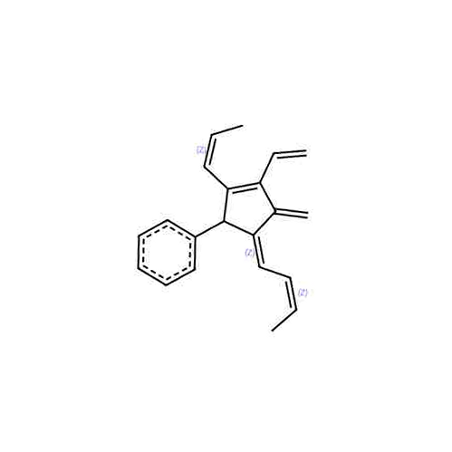 C=CC1=C(/C=C\C)C(c2ccccc2)/C(=C/C=C\C)C1=C